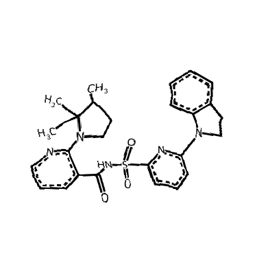 CC1CCN(c2ncccc2C(=O)NS(=O)(=O)c2cccc(N3CCc4ccccc43)n2)C1(C)C